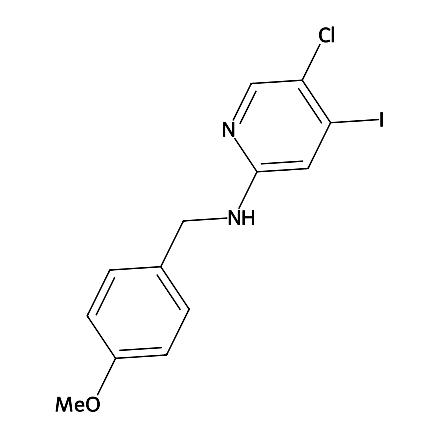 COc1ccc(CNc2cc(I)c(Cl)cn2)cc1